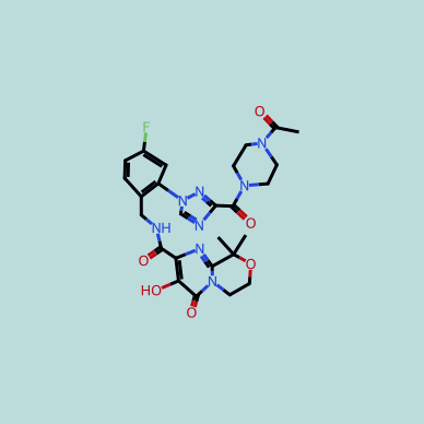 CC(=O)N1CCN(C(=O)c2ncn(-c3cc(F)ccc3CNC(=O)c3nc4n(c(=O)c3O)CCOC4(C)C)n2)CC1